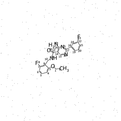 CCOc1cccc(F)c1CNC(=O)c1cnc(-c2cccc(F)c2)nc1N